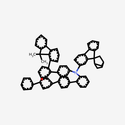 CC1(C)c2ccccc2-c2cccc(-c3ccccc3-c3ccc(N(c4ccc5c(c4)C4(CC6CCC4C6)c4ccccc4-5)c4ccccc4-c4ccc(-c5ccc(-c6ccccc6)cc5)cc4)cc3)c21